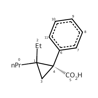 CCCC1(CC)C[C@]1(C(=O)O)c1ccccc1